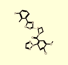 COc1cc(C(=O)N2CC[C@H]2c2noc(-c3cccc(F)c3C)n2)c(-n2nccn2)cc1Cl